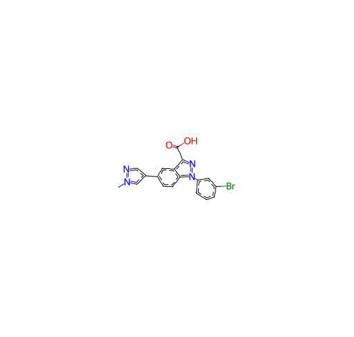 Cn1cc(-c2ccc3c(c2)c(C(=O)O)nn3-c2cccc(Br)c2)cn1